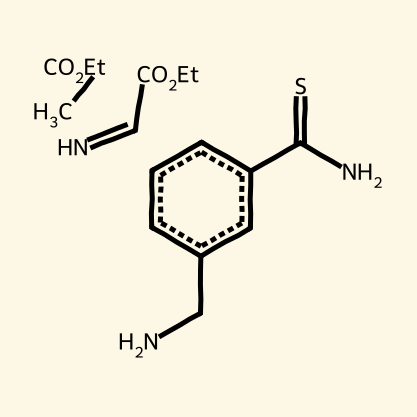 CCOC(=O)C=N.CCOC(C)=O.NCc1cccc(C(N)=S)c1